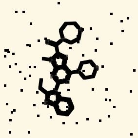 CCc1nc2ccccc2n1-c1nc(N2CCOCC2)c2nc(C(=O)N3CCCOCC3)n(C)c2n1